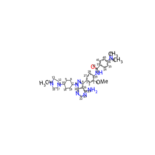 COc1cc(-c2nn(C3CCC(N4CCN(C)CC4)CC3)c3ncnc(N)c23)ccc1NC(=O)c1ccc(N(C)C)cc1